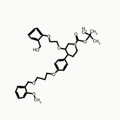 COc1ccccc1COCCCOc1ccc(C2CCN(C(=O)OC(C)(C)C)CC2OCCOc2ccccc2CO)cc1